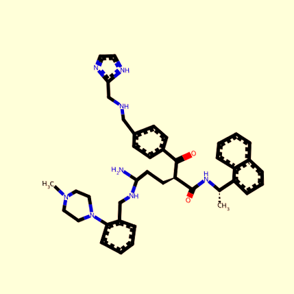 C[C@H](NC(=O)[C@@H](CCC(N)NCc1ccccc1N1CCN(C)CC1)C(=O)c1ccc(CNCc2ncc[nH]2)cc1)c1cccc2ccccc12